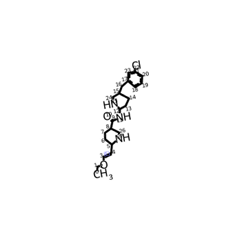 CCO/C=C/C1CCC(C(=O)NC2CCC(Cc3cccc(Cl)c3)CN2)CN1